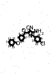 N#Cc1c(C(=O)c2ccc(Oc3ccccc3)cc2)nn(-c2ccc(Cl)cc2)c1N